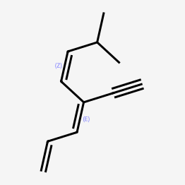 C#CC(/C=C\C(C)C)=C/C=C